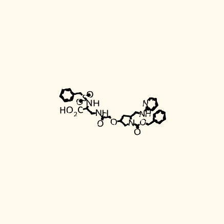 O=C(COC1CC(CNc2ccccn2)N(C(=O)OCc2ccccc2)C1)NCC(NS(=O)(=O)Cc1ccccc1)C(=O)O